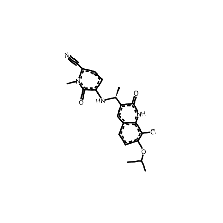 CC(C)Oc1ccc2cc([C@H](C)Nc3ccc(C#N)n(C)c3=O)c(=O)[nH]c2c1Cl